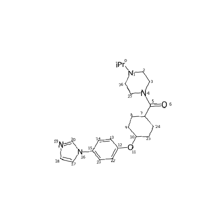 CC(C)N1CCN(C(=O)C2CCC(Oc3ccc(-n4ccnc4)cc3)CC2)CC1